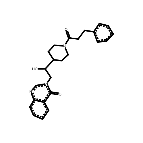 O=C(CCc1ccccc1)N1CCC(C(O)Cn2cnc3ccccc3c2=O)CC1